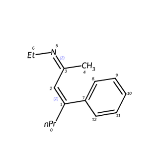 CCC/C(=C/C(C)=N\CC)c1ccccc1